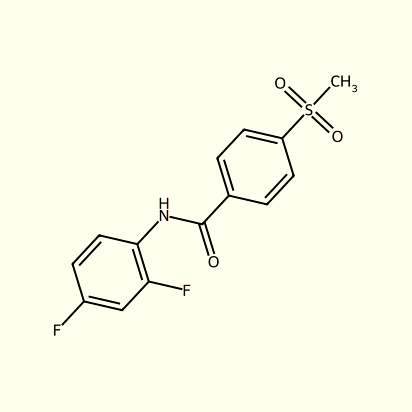 CS(=O)(=O)c1ccc(C(=O)Nc2ccc(F)cc2F)cc1